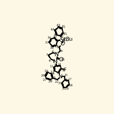 CC(C)(C)[Si](OCCN1CCCN(c2ccc(N(Cc3ccccc3)Cc3ccccc3)c(F)c2)C1=O)(c1ccccc1)c1ccccc1